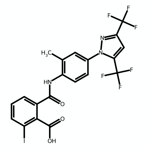 Cc1cc(-n2nc(C(F)(F)F)cc2C(F)(F)F)ccc1NC(=O)c1cccc(I)c1C(=O)O